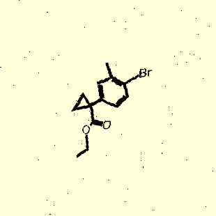 CCOC(=O)C1(c2ccc(Br)c(C)c2)CC1